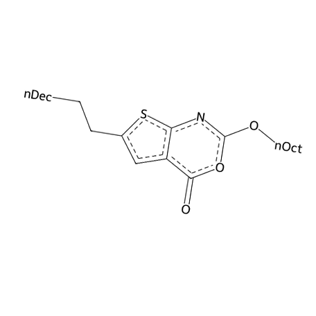 CCCCCCCCCCCCc1cc2c(=O)oc(OCCCCCCCC)nc2s1